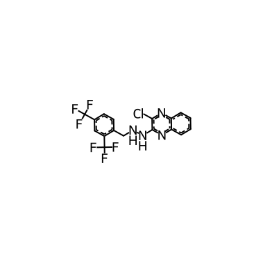 FC(F)(F)c1ccc(CNNc2nc3ccccc3nc2Cl)c(C(F)(F)F)c1